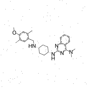 COc1cc(C)c(CN[C@H]2CC[C@@H](Nc3nc(N(C)C)c4ccccc4n3)CC2)cc1C